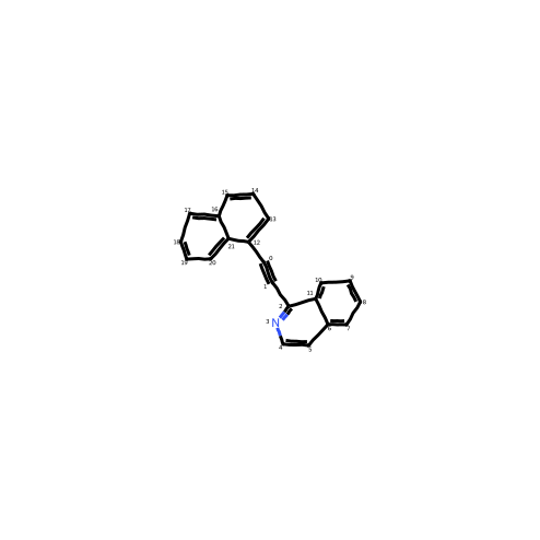 C(#Cc1nccc2ccccc12)c1cccc2ccccc12